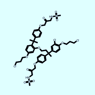 CC(C)(c1ccc(OCC(=O)CNS(C)(=O)=O)cc1)c1ccc(OCCCCl)cc1OCCC(C)(c1ccc(OCC(=O)CNS(C)(=O)=O)cc1)c1ccc(OCCCCl)c(Cl)c1